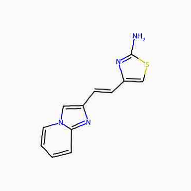 Nc1nc(/C=C/c2cn3ccccc3n2)cs1